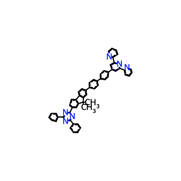 CC1(C)c2cc(-c3ccc(-c4ccc(-c5cc(-c6ccccn6)nc(-c6ccccn6)c5)cc4)cc3)ccc2-c2ccc(-c3nc(-c4ccccc4)nc(-c4ccccc4)n3)cc21